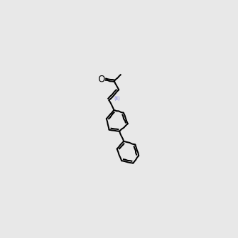 CC(=O)/C=C/c1ccc(-c2ccccc2)cc1